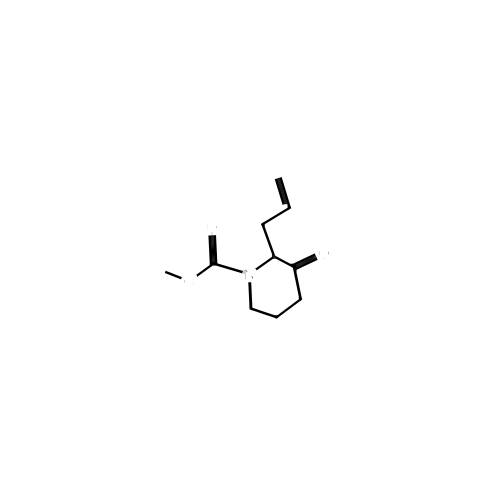 C=CCC1C(=O)CCCN1C(=O)OC